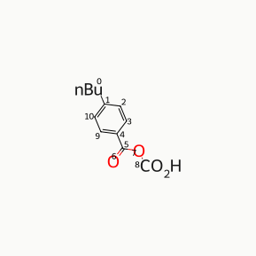 CCCCc1ccc(C(=O)OC(=O)O)cc1